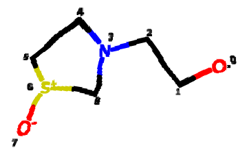 [O]CCN1CC[S+]([O-])C1